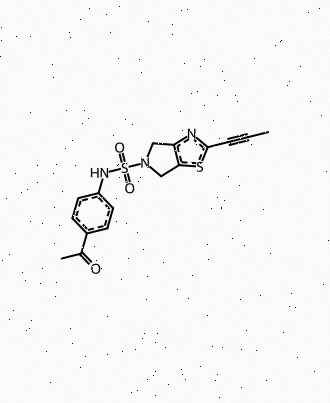 CC#Cc1nc2c(s1)CN(S(=O)(=O)Nc1ccc(C(C)=O)cc1)C2